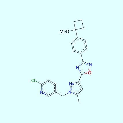 COC1(c2ccc(-c3noc(-c4cc(C)n(Cc5ccc(Cl)nc5)n4)n3)cc2)CCC1